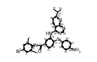 Cc1cc(Br)cc(C)c1NC(=O)c1ccc(Sc2ccc(N)cc2)c(Nc2ncnc3nc(C(C)C)ccc23)c1